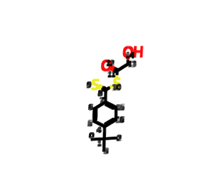 CC(C)(C)c1ccc(C(=S)SC(=O)CO)cc1